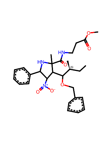 CC[C@H](C)C(OCc1ccccc1)C1C([N+](=O)[O-])C(c2ccccc2)NC1(C)C(=O)NCCC(=O)OC